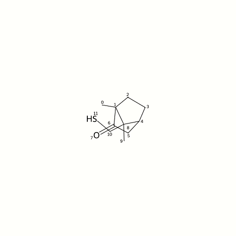 CC12CCC(CC1=O)C2(C)CS